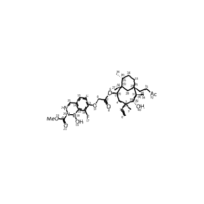 C=C[C@]1(C)C[C@@H](OC(=O)COc2ccc3c(c2F)B(O)N(C(=O)OC)N=C3)[C@@]2(C)C[C@](CCC(C)=O)(CC[C@H]2C)[C@@H](C)[C@@H]1O